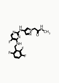 CNC(=O)Cn1cc(Nc2ncc(F)c(NCc3c(F)ccc(F)c3F)n2)cn1